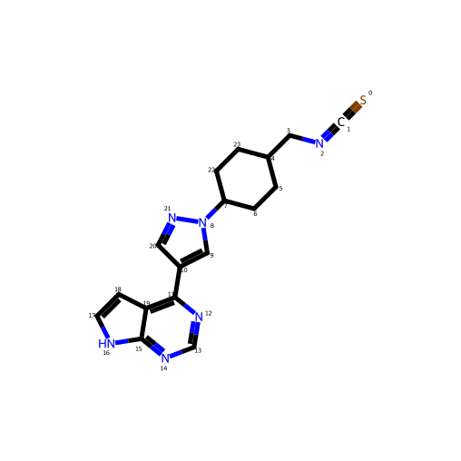 S=C=NCC1CCC(n2cc(-c3ncnc4[nH]ccc34)cn2)CC1